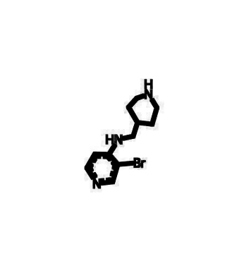 Brc1cnccc1NCC1CCNCC1